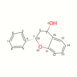 OC1C[C@@H](c2ccccc2)Oc2ccccc21